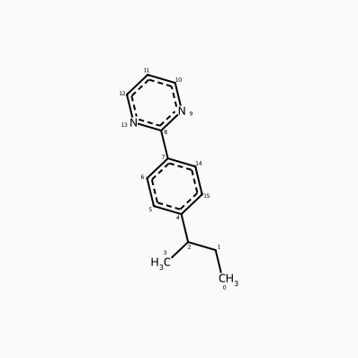 CCC(C)c1ccc(-c2ncccn2)cc1